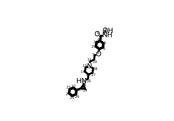 O=C(NO)c1ccc(OCCCN2CCC(CNC3CC3c3ccccc3)CC2)cc1